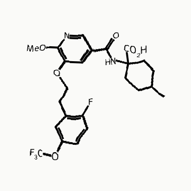 COc1ncc(C(=O)NC2(C(=O)O)CCC(C)CC2)cc1OCCc1cc(OC(F)(F)F)ccc1F